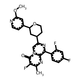 COc1cc(C2CC(c3cn4c(=O)c(F)c(C)nc4c(-c4ccc(F)cc4F)n3)CCO2)ccn1